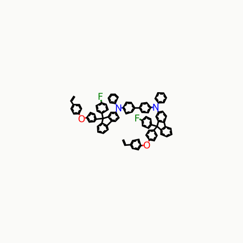 C=Cc1ccc(Oc2ccc(C3(c4ccc(F)cc4)c4ccccc4-c4ccc(N(c5ccccc5)c5ccc(-c6ccc(N(c7ccccc7)c7ccc8c(c7)C(c7ccc(F)cc7)(c7ccc(Oc9ccc(C=C)cc9)cc7)c7ccccc7-8)cc6)cc5)cc43)cc2)cc1